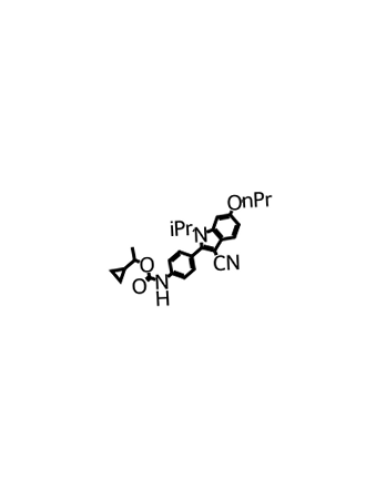 CCCOc1ccc2c(C#N)c(-c3ccc(NC(=O)OC(C)C4CC4)cc3)n(C(C)C)c2c1